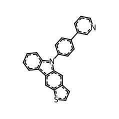 c1cncc(-c2ccc(-n3c4ccccc4c4cc5sccc5cc43)cc2)c1